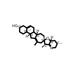 CC1=C2C[C@H]3C(CC=C4C[C@@H](O)CC[C@@]43C)[C@@H]2CC[C@@]2(C1)O[C@@H]1C[C@H](C)CN=C1[C@H]2C